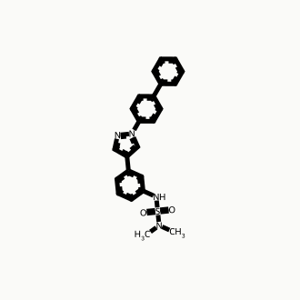 CN(C)S(=O)(=O)Nc1cccc(-c2cnn(-c3ccc(-c4ccccc4)cc3)c2)c1